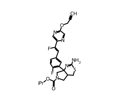 C#CCOc1cnc(/C(F)=C/c2ccc(F)c(C34CN(C(=O)OC(C)C)CC3CSC(N)=N4)c2)cn1